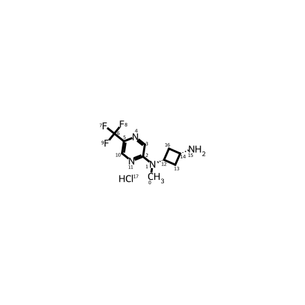 CN(c1cnc(C(F)(F)F)cn1)[C@H]1C[C@@H](N)C1.Cl